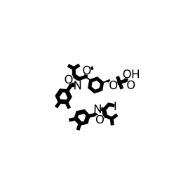 COC(c1nc(-c2ccc(C)c(C)c2)oc1C(C)C)[C@@H]1CCC[C@H](COC(C)(C)C(=O)O)C1.Cc1ccc(-c2nc(CI)c(C(C)C)o2)cc1C